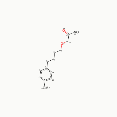 COc1ccc(CCCCOCC(=O)N=O)cc1